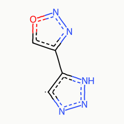 [c]1nn[nH]c1-c1conn1